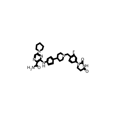 NC(=O)c1ncc(N2CCCCC2)nc1Nc1ccc(C2CCN(Cc3ccc(N4CCC(=O)NC4=O)cc3F)CC2)cc1